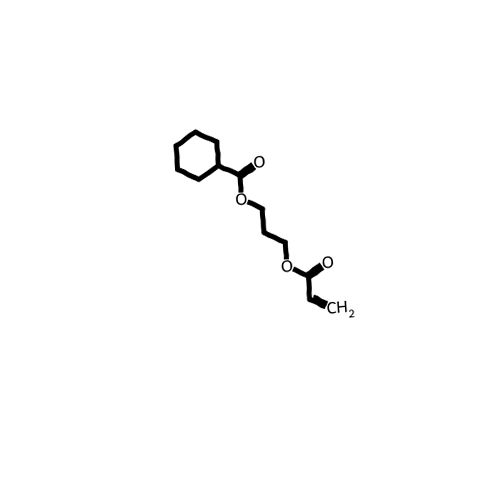 C=CC(=O)OCCCOC(=O)C1CCCCC1